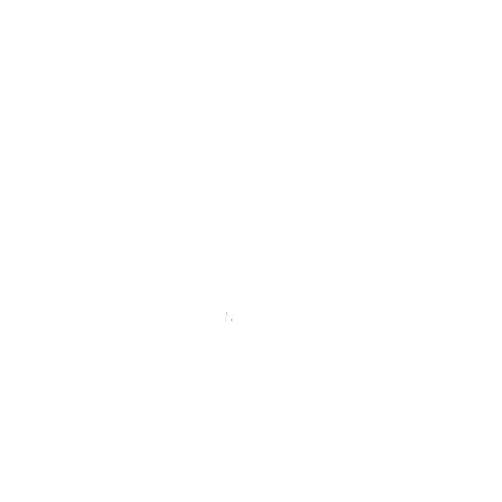 C/C=C\c1c(C)c2cc(-c3ccccc3)ccc2n1-c1ccccc1